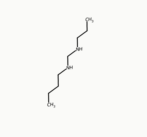 CCCCNCNCCC